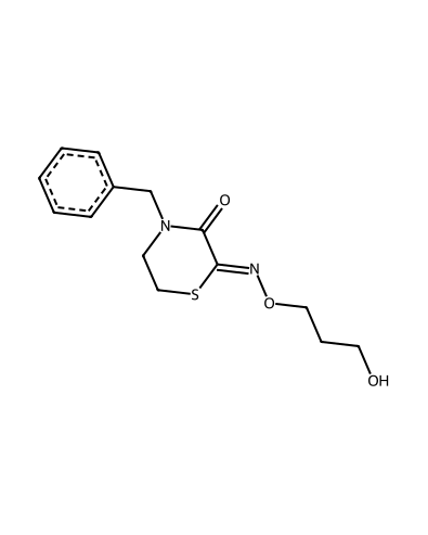 O=C1C(=NOCCCO)SCCN1Cc1ccccc1